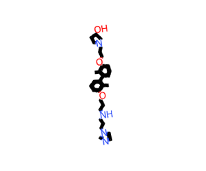 Cc1c(OCCCNCCCn2ccnc2)cccc1-c1cccc(OCCCN2CC[C@@H](O)C2)c1C